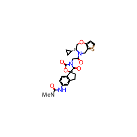 CNC(=O)Nc1ccc2c(c1)CC[C@]21OC(=O)N(CC(=O)N2Cc3sccc3OC[C@H]2C2CC2)C1=O